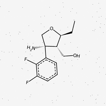 CC[C@@H]1OC[C@](N)(c2cccc(F)c2F)[C@H]1CO